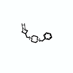 c1ccc(CN2CCN(CC3CNC3)CC2)cc1